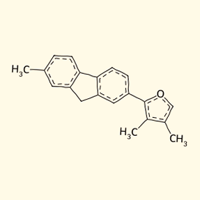 Cc1ccc2c(c1)Cc1cc(-c3occ(C)c3C)ccc1-2